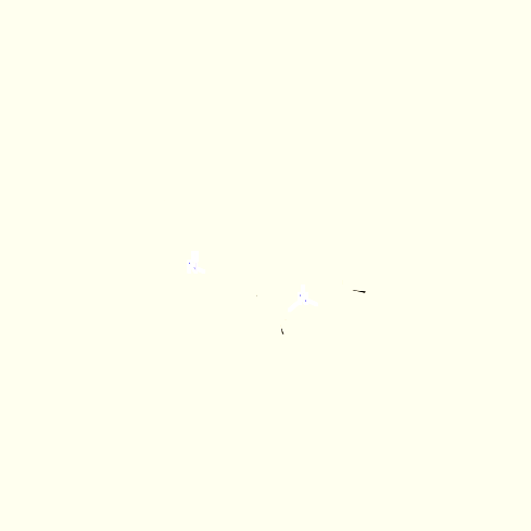 C[C@@H]1CCN([C@@H](C)COc2ccc(C=O)nc2)C1